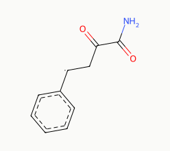 NC(=O)C(=O)C[CH]c1ccccc1